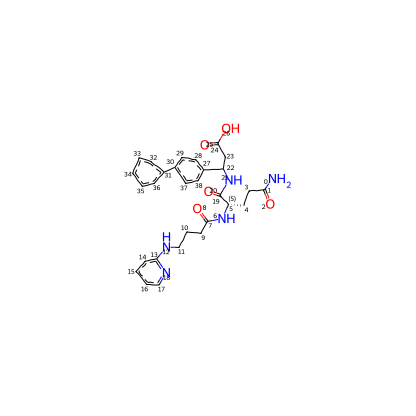 NC(=O)CC[C@H](NC(=O)CCCNc1ccccn1)C(=O)NC(CC(=O)O)c1ccc(-c2ccccc2)cc1